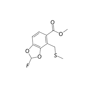 COC(=O)c1ccc2c(c1CSC)OC(F)O2